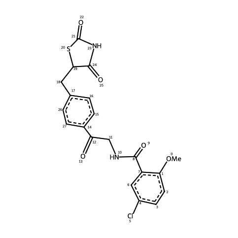 COc1ccc(Cl)cc1C(=O)NCC(=O)c1ccc(CC2SC(=O)NC2=O)cc1